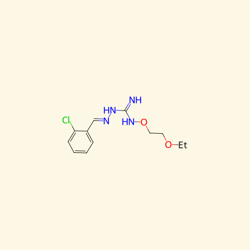 CCOCCONC(=N)NN=Cc1ccccc1Cl